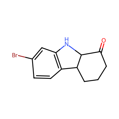 O=C1CCCC2c3ccc(Br)cc3NC12